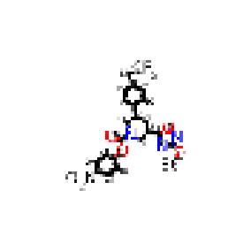 CCOc1noc(C2CC(c3ccc(CC(F)(F)F)cc3)CN(C(=O)Oc3ccc([N+](=O)[O-])cc3)C2)n1